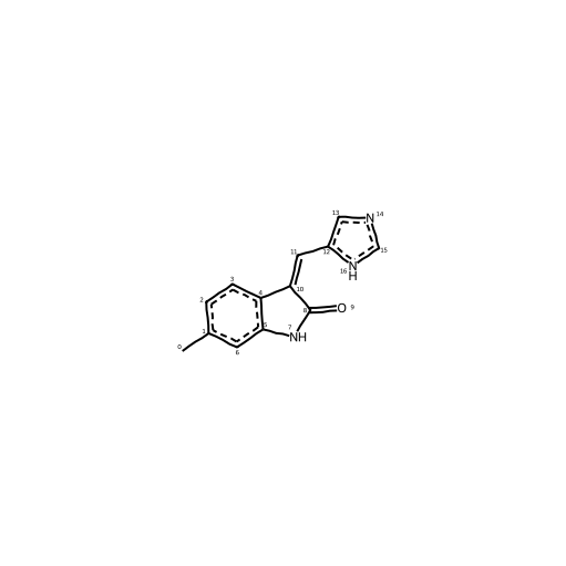 Cc1ccc2c(c1)NC(=O)/C2=C\c1cnc[nH]1